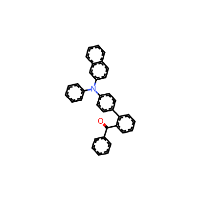 O=C(c1ccccc1)c1ccccc1-c1ccc(N(c2ccccc2)c2ccc3ccccc3c2)cc1